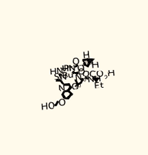 CCC1C[C@]1(NC(=O)[C@@H]1C[C@@H](Oc2cc(-c3csc(NC(C)C)n3)nc3cc(OCCO)ccc23)CN1C(=O)C(NC(=O)O[C@@H]1C[C@@H]2C[C@@H]2C1)C(C)(C)C)C(=O)O